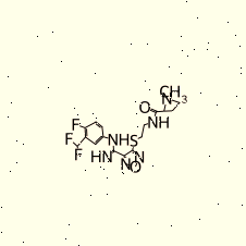 CN1CCC1C(=O)NCCSc1nonc1C(=N)Nc1ccc(F)c(C(F)F)c1